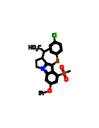 CC(C)Oc1cc(S(C)(=O)=O)c2c(Sc3ccc(Cl)cc3)c3n(c2c1)CCC3C(C)C(=O)O